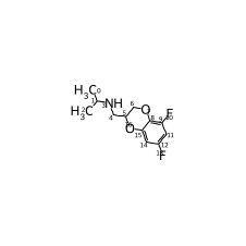 CC(C)NCC1COc2c(F)cc(F)cc2O1